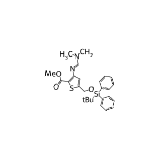 COC(=O)c1sc(CO[Si](c2ccccc2)(c2ccccc2)C(C)(C)C)cc1N=CN(C)C